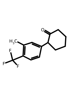 Cc1cc(C2CCCCC2=O)ccc1C(F)(F)F